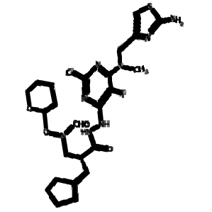 CN(Cc1csc(N)n1)c1nc(Cl)nc(NNC(=O)[C@@H](CC2CCCC2)CN(C=O)OC2CCCCO2)c1F